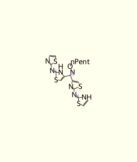 CCCCCO/N=C(/c1csc(/N=c2\[nH]ccs2)n1)c1cs/c(=N/c2nccs2)[nH]1